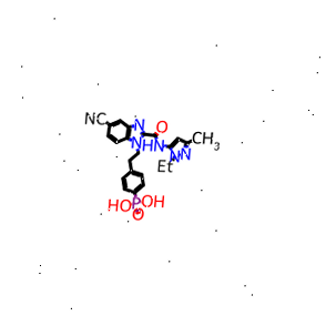 CCn1nc(C)cc1NC(=O)c1nc2cc(C#N)ccc2n1CCc1ccc(P(=O)(O)O)cc1